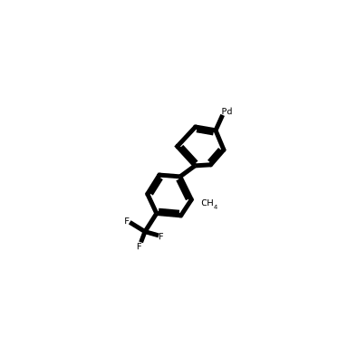 C.FC(F)(F)c1ccc(-c2cc[c]([Pd])cc2)cc1